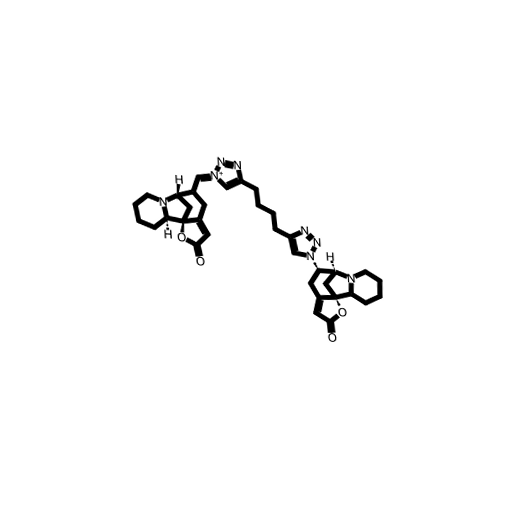 O=C1C=C2C[C@H](n3cc(CCCCC4=C/[N+](=C\C5CC6=CC(=O)O[C@@]67C[C@@H]5N5CCCC[C@@H]57)N=N4)nn3)[C@@H]3C[C@@]2(O1)C1CCCCN13